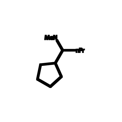 CCCC(NC)C1CCCC1